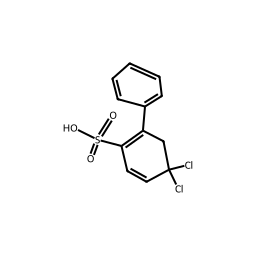 O=S(=O)(O)C1=C(c2ccccc2)CC(Cl)(Cl)C=C1